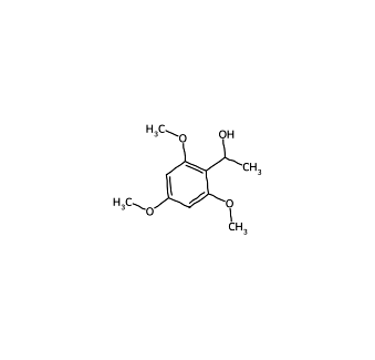 COc1cc(OC)c(C(C)O)c(OC)c1